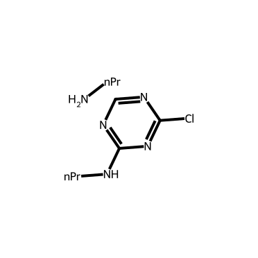 CCCN.CCCNc1ncnc(Cl)n1